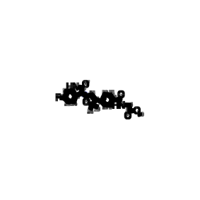 COC(=O)CNC(=O)c1ccc(C2=C/C(=C3\C(=O)Nc4cc(F)ccc43)OC2(C)C)cc1